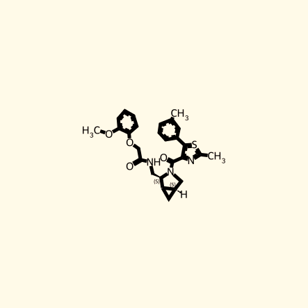 COc1ccccc1OCC(=O)NC[C@@H]1C2C[C@@H]2CN1C(=O)c1nc(C)sc1-c1cccc(C)c1